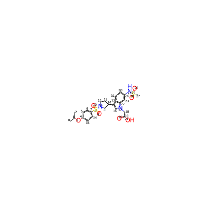 CC(C)Oc1ccc(S(=O)(=O)N2CCC(c3cn(CC(=O)O)c4cc(NS(C)(=O)=O)ccc34)C2)cc1